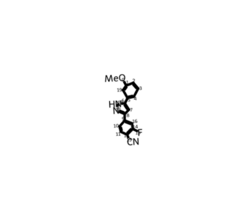 COc1cccc(-c2cc(-c3ccc(C#N)c(F)c3)n[nH]2)c1